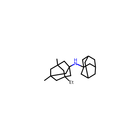 CCC12CC3(C)CC(C)(C1)CC(NC14CC5CC(CC(C5)C1)C4)(C3)C2